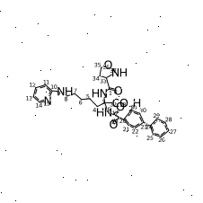 O=C(NC(CCCCCNc1ccccn1)(NS(=O)(=O)c1ccc(-c2ccccc2)cc1)C(=O)O)C1CCON1